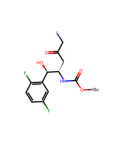 CC(C)(C)OC(=O)N[C@@H](CC(=O)CI)[C@H](O)c1cc(F)ccc1F